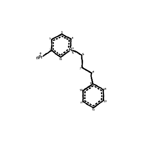 CCCc1ccc[n+](CCCc2ccccc2)c1